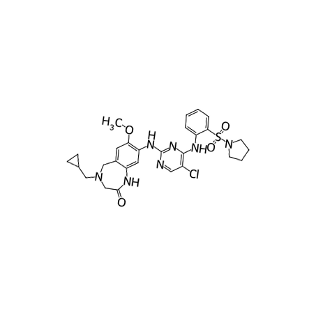 COc1cc2c(cc1Nc1ncc(Cl)c(Nc3ccccc3S(=O)(=O)N3CCCC3)n1)NC(=O)CN(CC1CC1)C2